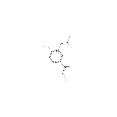 CC(C)Cc1cc(C(=O)CBr)ccc1Cl